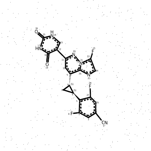 N#Cc1cc(F)c([C@H]2C[C@@H]2c2cc(-c3c[nH]c(=O)[nH]c3=O)nn3c(F)cnc23)c(F)c1